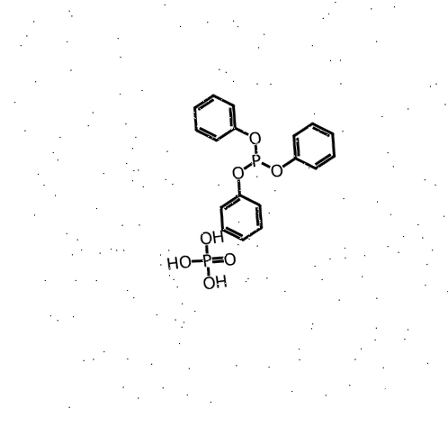 O=P(O)(O)O.c1ccc(OP(Oc2ccccc2)Oc2ccccc2)cc1